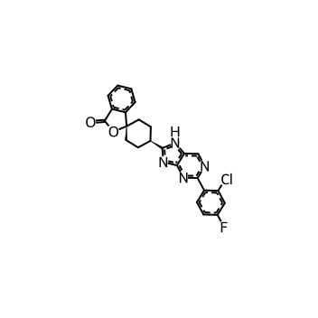 O=C1O[C@]2(CC[C@H](c3nc4nc(-c5ccc(F)cc5Cl)ncc4[nH]3)CC2)c2ccccc21